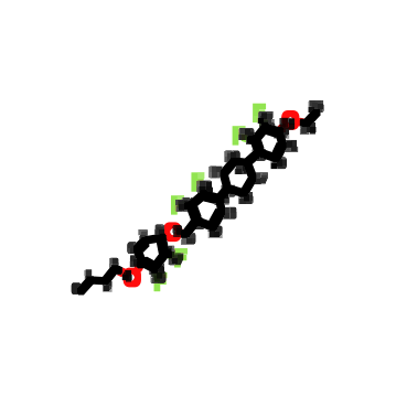 CCCCOc1ccc(OCc2ccc(C3CCC(c4ccc(OCC)c(F)c4F)CC3)c(F)c2F)c(F)c1F